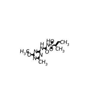 CC=C(C)S(=O)(=O)NC(=O)Nc1nc(C)nc(OC)n1